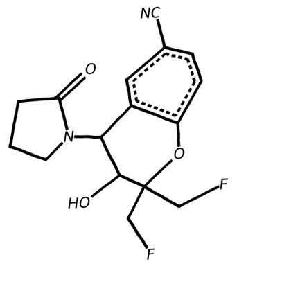 N#Cc1ccc2c(c1)C(N1CCCC1=O)C(O)C(CF)(CF)O2